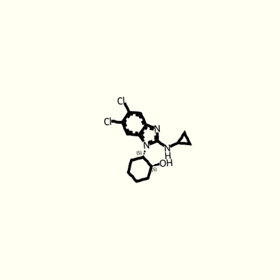 O[C@H]1CCCC[C@@H]1n1c(NC2CC2)nc2cc(Cl)c(Cl)cc21